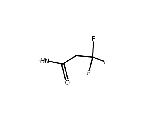 [NH]C(=O)CC(F)(F)F